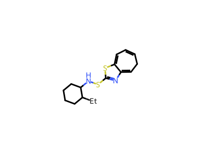 CCC1CCCCC1NSc1nc2c(s1)=CC=CCC=2